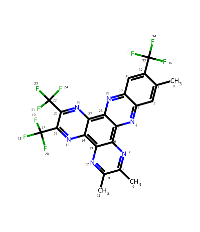 Cc1cc2nc3c4nc(C)c(C)nc4c4nc(C(F)(F)F)c(C(F)(F)F)nc4c3nc2cc1C(F)(F)F